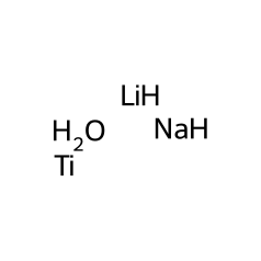 O.[LiH].[NaH].[Ti]